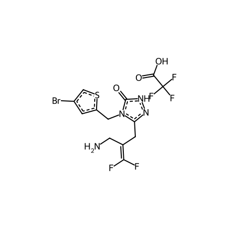 NCC(Cc1n[nH]c(=O)n1Cc1cc(Br)cs1)=C(F)F.O=C(O)C(F)(F)F